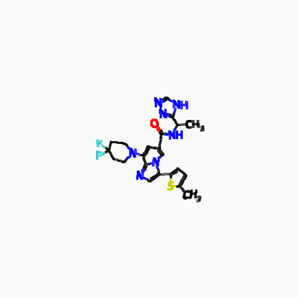 Cc1ccc(-c2cnc3c(N4CCC(F)(F)CC4)cc(C(=O)NC(C)c4nnc[nH]4)cn23)s1